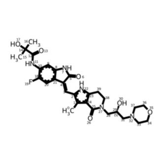 Cc1c(C=C2C(=O)Nc3cc(NC(=O)C(C)(C)O)c(F)cc32)[nH]c2c1C(=O)N(C[C@@H](O)CN1CCOCC1)CC2